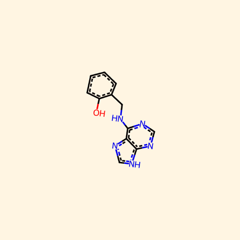 Oc1ccccc1CNc1ncnc2[nH]cnc12